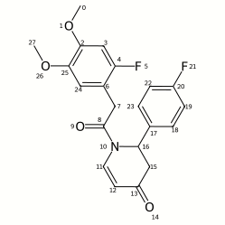 COc1cc(F)c(CC(=O)N2C=CC(=O)CC2c2ccc(F)cc2)cc1OC